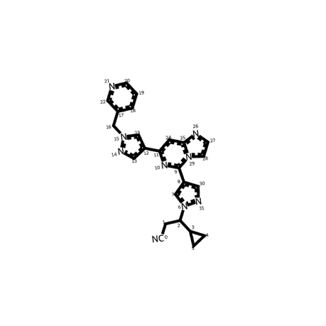 N#CCC(C1CC1)n1cc(-c2nc(-c3cnn(Cc4cccnc4)c3)cc3nccn23)cn1